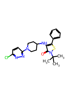 CC(C)(C)n1sc(-c2ccccc2)c(NC2CCN(c3ccc(Cl)nn3)CC2)c1=O